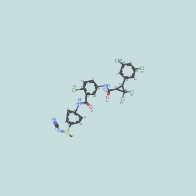 C/S(=N/C#N)c1ccc(NC(=O)c2cc(NC(=O)C3C(c4cc(Cl)cc(Cl)c4)C3(Cl)Cl)ccc2Cl)cc1